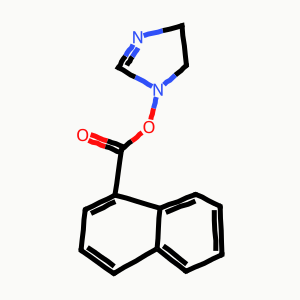 O=C(ON1C=NCC1)c1cccc2ccccc12